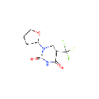 O=C1NC(=O)N(C2CCCO2)CC1C(F)(F)F